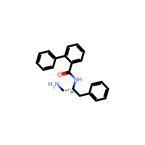 NC[C@@H](Cc1ccccc1)NC(=O)c1ccccc1-c1ccccc1